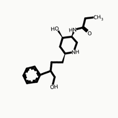 CCC(=O)N[C@H]1CN[C@@H](CCC(CO)c2ccccc2)C[C@H]1O